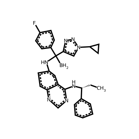 BC(Nc1ccc2ncnc(N[C@H](CC)c3ccccc3)c2c1)(c1ccc(F)cc1)c1cn(C2CC2)nn1